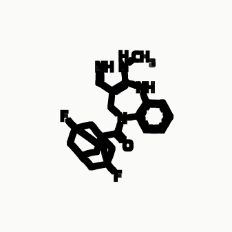 CNC1=C(C=N)CN(C(=O)C23CC4CC(F)(CC(F)(C4)C2)C3)c2ccccc2N1